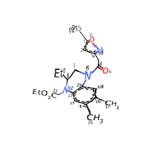 CCCc1cc(C(=O)N2CC(CC)N(C(=O)OCC)c3cc(C)c(C)cc32)no1